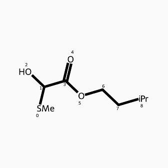 CSC(O)C(=O)OCCC(C)C